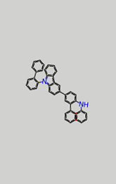 c1ccc(Nc2ccc(-c3ccc4c(c3)c3ccccc3n4-c3ccccc3-c3ccccc3)cc2-c2ccccc2)cc1